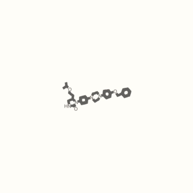 CC(C)OCCC1CNC(=O)N1c1ccc(N2CCN(c3ccc(OCc4ccccc4)cc3)CC2)cc1